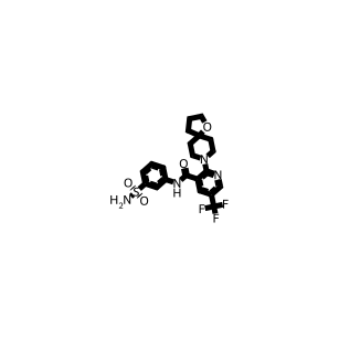 NS(=O)(=O)c1cccc(NC(=O)c2cc(C(F)(F)F)cnc2N2CCC3(CCCO3)CC2)c1